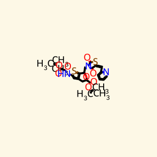 CC(C)(C)OC(=O)C(=O)Nc1cc2c(s1)C(CN1C(=O)SC(=Cc3ccccn3)C1=O)OC(C(=O)OC(C)(C)C)C2